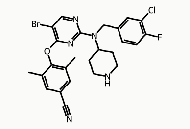 Cc1cc(C#N)cc(C)c1Oc1nc(N(Cc2ccc(F)c(Cl)c2)C2CCNCC2)ncc1Br